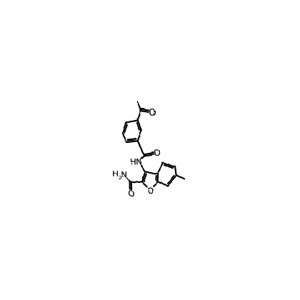 CC(=O)c1cccc(C(=O)Nc2c(C(N)=O)oc3cc(C)ccc23)c1